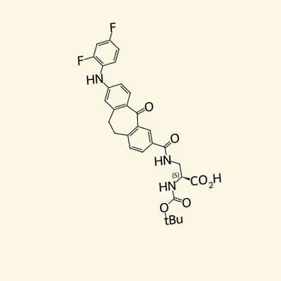 CC(C)(C)OC(=O)N[C@@H](CNC(=O)c1ccc2c(c1)C(=O)c1ccc(Nc3ccc(F)cc3F)cc1CC2)C(=O)O